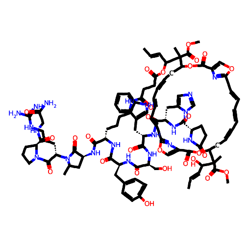 C/C=C/C(O)C(C)(C(=O)OC)C1C\C=C/C=C/C=C/c2nc(co2)C(=O)OC(C(C)(C(=O)OC)C(/C=C/C)OC(=O)CCC(=O)NCCCC[C@H](NC(=O)[C@H](Cc2ccc(O)cc2)NC(=O)[C@H](CO)NC(=O)[C@H](Cc2c[nH]c3ccccc23)NC(=O)[C@H](Cc2cnc[nH]2)NC(=O)[C@@H]2CCC(=O)N2)C(=O)N[C@H]2CC(C)N([C@@H](CCCNC(=N)N)C(=O)N3CCC[C@H]3C(=O)NCC(N)=O)C2=O)C\C=C/C=C/C=C/c2nc(co2)C(=O)O1